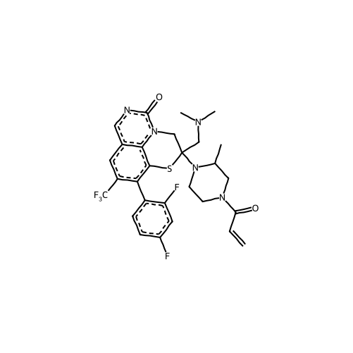 C=CC(=O)N1CCN(C2(CN(C)C)Cn3c(=O)ncc4cc(C(F)(F)F)c(-c5ccc(F)cc5F)c(c43)S2)C(C)C1